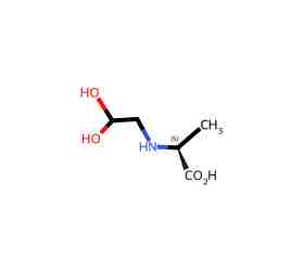 C[C@H](NCC(O)O)C(=O)O